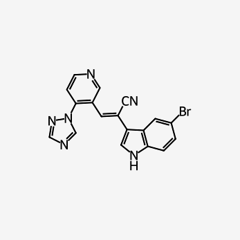 N#C/C(=C\c1cnccc1-n1cncn1)c1c[nH]c2ccc(Br)cc12